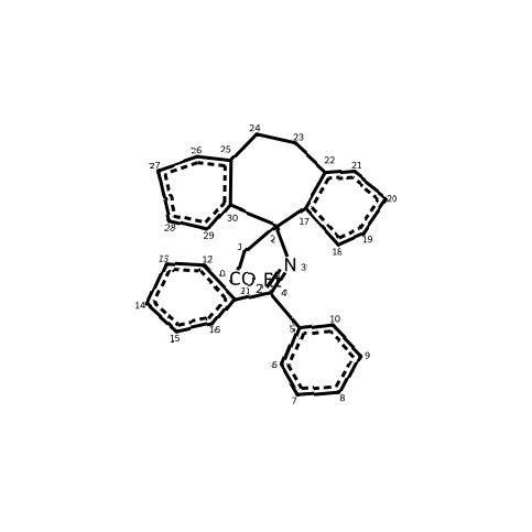 CCOC(=O)CC1(N=C(c2ccccc2)c2ccccc2)c2ccccc2CCc2ccccc21